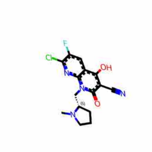 CN1CCC[C@H]1Cn1c(=O)c(C#N)c(O)c2cc(F)c(Cl)nc21